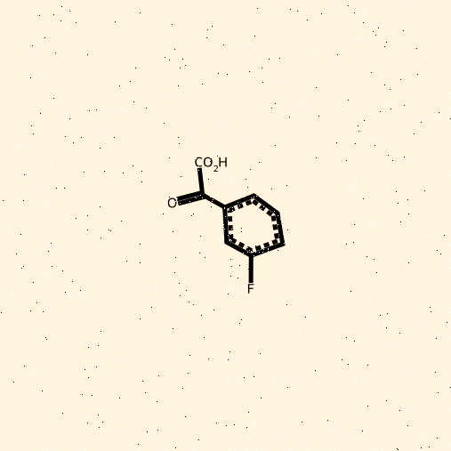 O=C(O)C(=O)c1cccc(F)c1